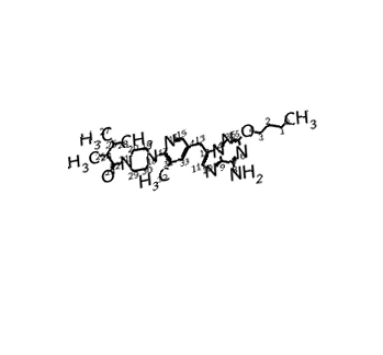 CCCCOc1nc(N)c2ncc(Cc3cnc(N4CCN(C(=O)[C@@H](C)C(C)C)CC4)c(C)c3)n2n1